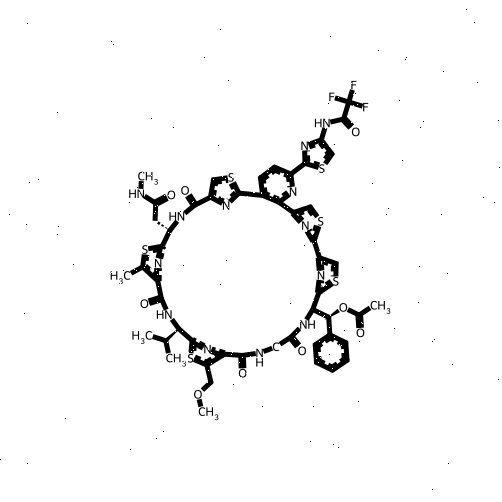 CNC(=O)C[C@@H]1NC(=O)c2csc(n2)-c2ccc(-c3nc(NC(=O)C(F)(F)F)cs3)nc2-c2csc(n2)-c2csc(n2)C([C@@H](OC(C)=O)c2ccccc2)NC(=O)CNC(=O)c2nc(sc2COC)[C@@H](C(C)C)NC(=O)c2nc1sc2C